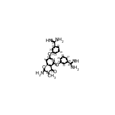 CN(C(N)=O)C(=O)c1ccc(Oc2cccc(C(=N)N)c2)nc1Oc1cccc(C(=N)N)c1